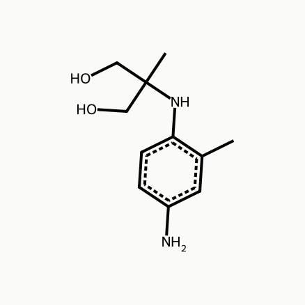 Cc1cc(N)ccc1NC(C)(CO)CO